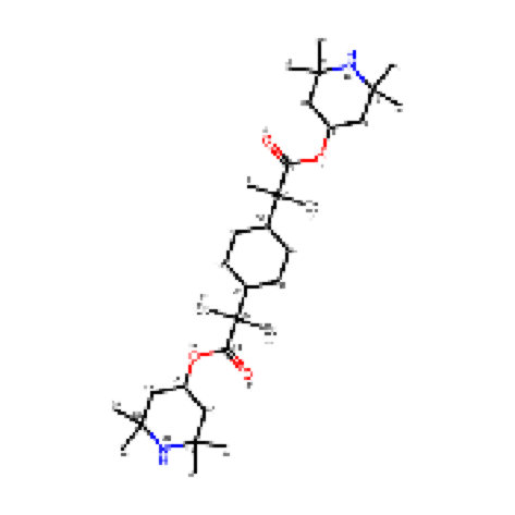 CCC(C)(C(=O)OC1CC(C)(C)NC(C)(C)C1)C1CCC(C(CC)(CC)C(=O)OC2CC(C)(C)NC(C)(C)C2)CC1